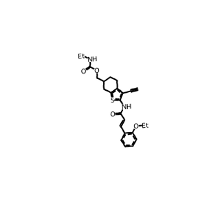 C#Cc1c(NC(=O)/C=C/c2ccccc2OCC)sc2c1CCC(COC(=O)NCC)C2